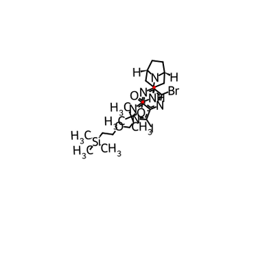 CC(C)(C)OC(=O)N[C@@H]1C[C@H]2CC[C@@H](C1)N2c1nc2nn(COCC[Si](C)(C)C)c(I)c2nc1Br